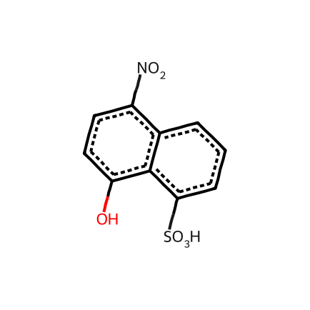 O=[N+]([O-])c1ccc(O)c2c(S(=O)(=O)O)cccc12